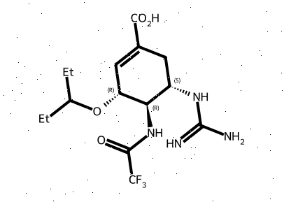 CCC(CC)O[C@@H]1C=C(C(=O)O)C[C@H](NC(=N)N)[C@H]1NC(=O)C(F)(F)F